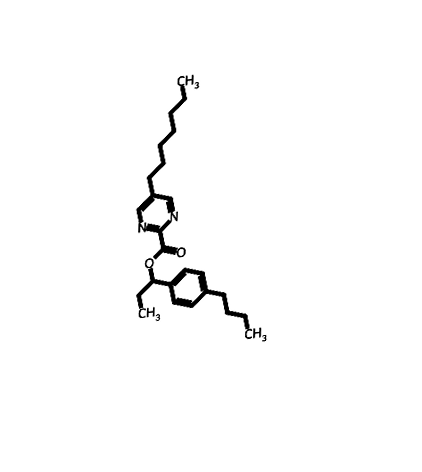 CCCCCCCc1cnc(C(=O)OC(CC)c2ccc(CCCC)cc2)nc1